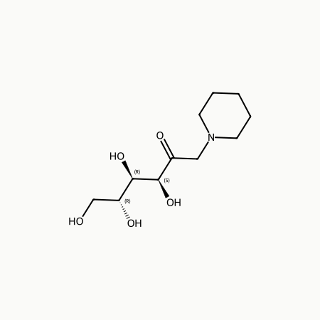 O=C(CN1CCCCC1)[C@@H](O)[C@H](O)[C@H](O)CO